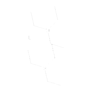 CC[Si](CC)CC.CC[Si](CC)CC.[Li]